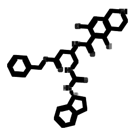 O=C(NCC(CC(=O)OCc1ccccc1)NC(=O)c1c(Cl)cc2c(c1Cl)CCNC2)N[C@@H]1CCc2ccccc21